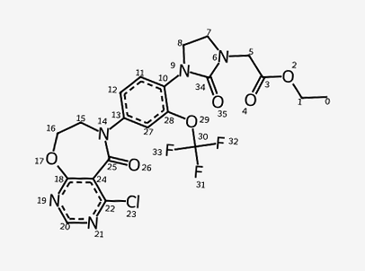 CCOC(=O)CN1CCN(c2ccc(N3CCOc4ncnc(Cl)c4C3=O)cc2OC(F)(F)F)C1=O